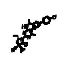 CC[C@H]1C[C@@](C#N)(C2CC2)C(=O)N1c1nc(C)nc(N[C@@H](C)c2cn(-c3ccc(Cl)cc3)cn2)n1